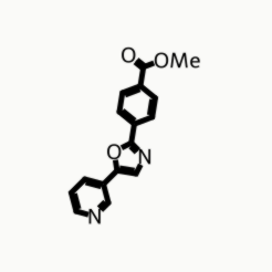 COC(=O)c1ccc(-c2ncc(-c3cccnc3)o2)cc1